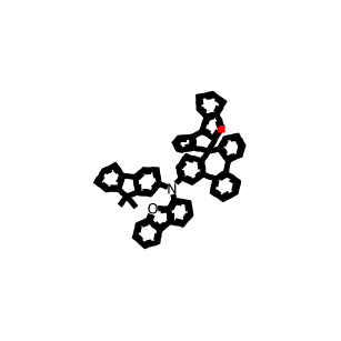 CC1(C)c2ccccc2-c2ccc(N(c3ccc4c(c3)-c3ccccc3-c3ccccc3C43c4ccccc4-c4c3ccc3ccccc43)c3cccc4c3oc3ccccc34)cc21